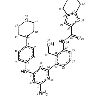 Nc1nc(Nc2ccc(N3CCOCC3)cc2)nc(-c2cccc(NC(=O)c3cc4c(s3)CCCC4)c2CO)n1